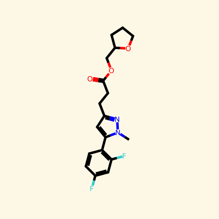 Cn1nc(CCC(=O)OCC2CCCO2)cc1-c1ccc(F)cc1F